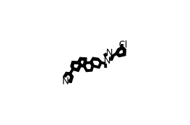 CC(C1C=CC2=C(CCc3c2ccc2ccc(-c4ccncc4)cc32)C1)n1cnc(-c2cccc(Cl)c2)c1